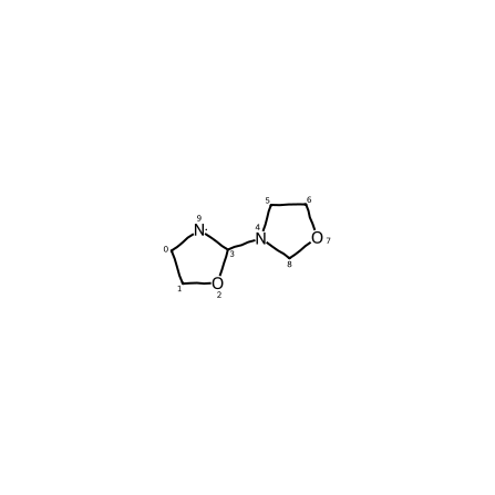 C1COC(N2CCOC2)[N]1